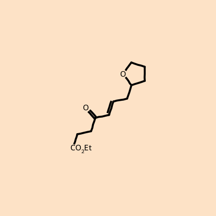 CCOC(=O)CCC(=O)C=CCC1CCCO1